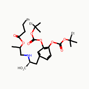 CCC(C)(C)OC(=O)Oc1ccc(C[C@H](NCC(C)OC(=O)CCC(C)C)C(=O)O)cc1OC(=O)OC(C)(C)CC